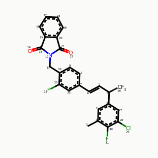 Cc1cc(C(/C=C/c2ccc(CN3C(=O)c4ccccc4C3=O)c(F)c2)C(F)(F)F)cc(Cl)c1F